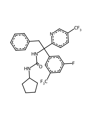 O=C(NC1CCCC1)NC(Cc1ccccc1)(c1cc(F)cc(C(F)(F)F)c1)c1ccc(C(F)(F)F)cn1